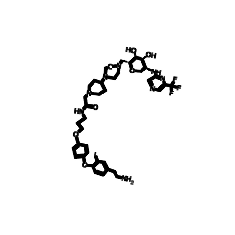 NCCc1ccc(Oc2ccc(OCCCNC(=O)CN3CCC(N4CCN(C[C@H]5OC[C@H](Nc6cncc(C(F)(F)F)n6)[C@@H](O)[C@H]5O)CC4)CC3)cc2)c(I)c1